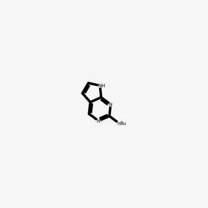 CCCCc1ncc2cc[nH]c2n1